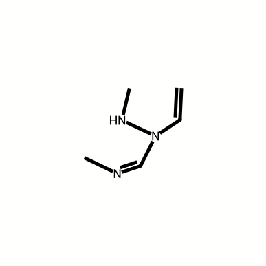 C=CN(/C=N\C)NC